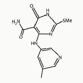 CSc1nc(Nc2cncc(C)c2)c(C(N)=O)c(=O)[nH]1